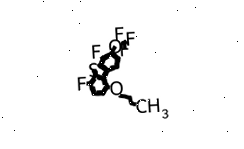 CCCCOc1ccc(F)c2sc3c(F)c(OC(F)(F)F)ccc3c12